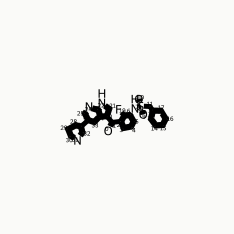 O=C(c1cccc(NS(=O)(=O)Cc2ccccc2)c1F)c1c[nH]c2ncc(-c3cccnc3)cc12